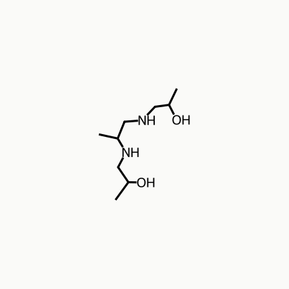 CC(O)CNCC(C)NCC(C)O